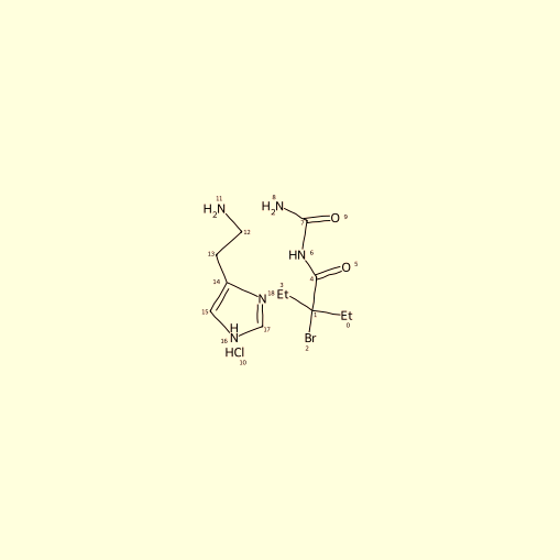 CCC(Br)(CC)C(=O)NC(N)=O.Cl.NCCc1c[nH]cn1